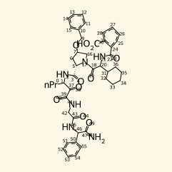 CCCC(NC(=O)[C@@H]1C[C@@H](OCc2ccccc2)CN1C(=O)C(NC(=O)c1ccccc1C(=O)O)C1CCCCC1)C(=O)C(=O)NCC(=O)N[C@@H](C(N)=O)c1ccccc1